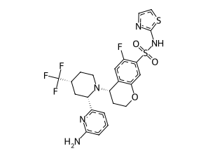 Nc1cccc([C@@H]2C[C@H](C(F)(F)F)CCN2[C@H]2CCOc3cc(S(=O)(=O)Nc4nccs4)c(F)cc32)n1